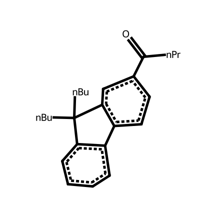 CCCCC1(CCCC)c2ccccc2-c2ccc(C(=O)CCC)cc21